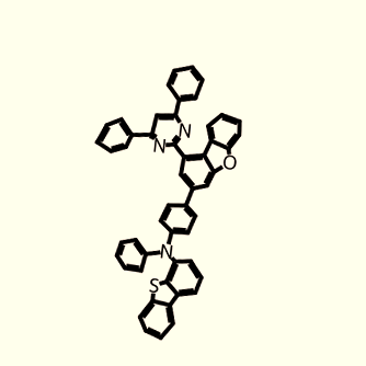 c1ccc(-c2cc(-c3ccccc3)nc(-c3cc(-c4ccc(N(c5ccccc5)c5cccc6c5sc5ccccc56)cc4)cc4oc5ccccc5c34)n2)cc1